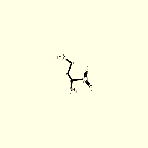 NC(CCC(=O)O)[SH](=O)=O